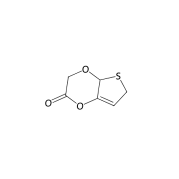 O=C1COC2SCC=C2O1